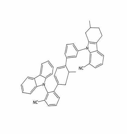 CC1CCc2c(n(-c3cccc(C4=CC=C(c5cccc(C#N)c5-n5c6ccccc6c6ccccc65)CC4C)c3)c3c(C#N)cccc23)C1